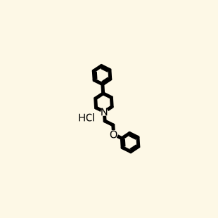 Cl.c1ccc(OCCN2CCC(c3ccccc3)CC2)cc1